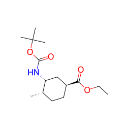 CCOC(=O)[C@H]1CC[C@H](C)[C@H](NC(=O)OC(C)(C)C)C1